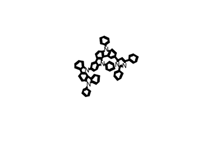 c1ccc(-c2cc(-c3ccc4c(c3)c3c(ccc5c6cc(-n7c8ccccc8c8ccc9c(c%10ccccc%10n9-c9ccccc9)c87)ccc6n(-c6ccccc6)c53)n4-c3ccccc3)nc(-c3ccccc3)n2)cc1